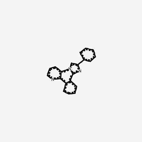 c1ccc(-c2cn3c4cccnc4c4ccccc4c3n2)cc1